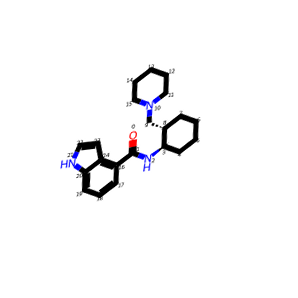 O=C(N[C@@H]1CCCC[C@H]1CN1CCCCC1)c1cccc2[nH]ccc12